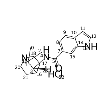 CC1(C)[C@H](NC(=O)c2ccc3cc[nH]c3c2)C2CCN1CC2.Cl